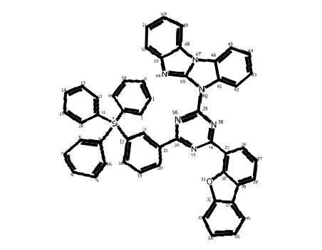 c1ccc([Si](c2ccccc2)(c2ccccc2)c2cccc(-c3nc(-c4cccc5c4oc4ccccc45)nc(-n4c5ccccc5n5c6ccccc6nc45)n3)c2)cc1